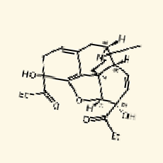 CCC(=O)C1(O)CC=C2C[C@@H]3[C@@H]4C=C[C@@](O)(C(=O)CC)[C@@H]5OC1=C2[C@@]54CCN3C